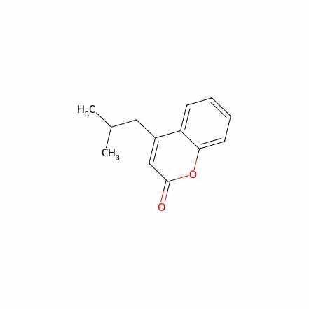 CC(C)Cc1cc(=O)oc2ccccc12